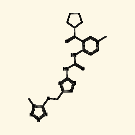 Cc1ccc(NC(=O)Nc2ncc(CSc3nnnn3C)s2)c(C(=O)C2CCCC2)c1